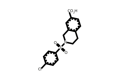 O=C(O)c1ccc2c(c1)CN(S(=O)(=O)c1ccc(Cl)cc1)CC2